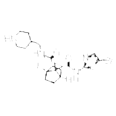 O=C(NCC1CCNCC1)[C@H]1[C@H](C(=O)Nc2ncc(Br)s2)[C@@H]2CC[C@H]1C21CC1